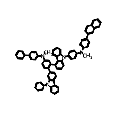 CN(c1ccc(-c2ccc3ccccc3c2)cc1)c1ccc(-n2c3ccccc3c3c(-c4cc(N(C)c5ccc(-c6ccccc6)cc5)ccc4-c4ccc5c6ccccc6n(-c6ccccc6)c5c4)cccc32)cc1